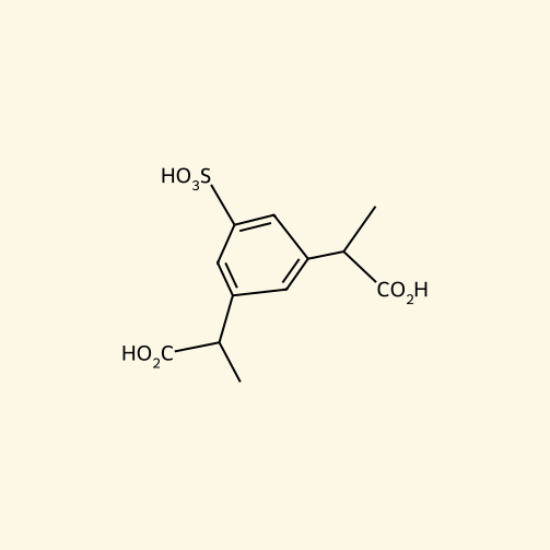 CC(C(=O)O)c1cc(C(C)C(=O)O)cc(S(=O)(=O)O)c1